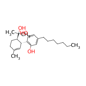 CCCCCCCc1cc(O)c([C@@H]2C=C(C)CC[C@H]2C(C)(C)O)c(O)c1